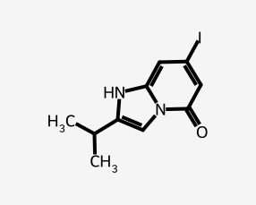 CC(C)c1cn2c(=O)cc(I)cc2[nH]1